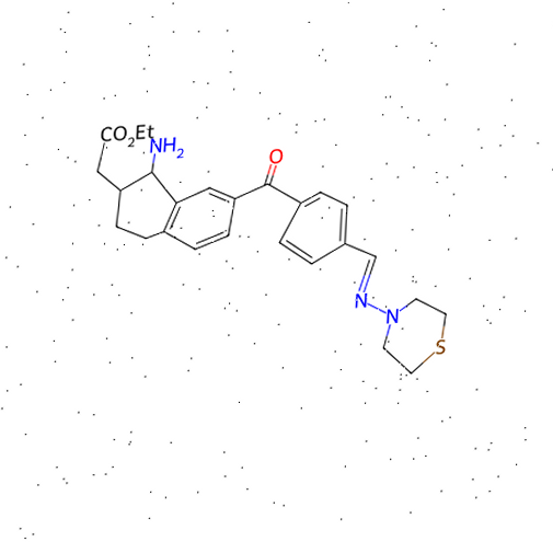 CCOC(=O)CC1CCc2ccc(C(=O)c3ccc(C=NN4CCSCC4)cc3)cc2C1N